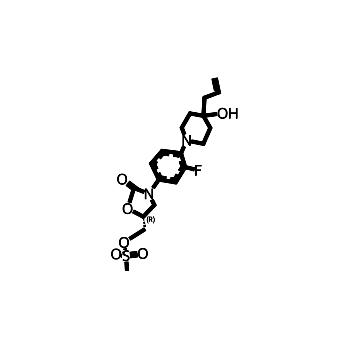 C=CCC1(O)CCN(c2ccc(N3C[C@H](COS(C)(=O)=O)OC3=O)cc2F)CC1